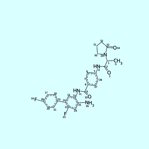 CC(C(=O)Nc1ccc(C(=O)Nc2cc(-c3ccc(F)cc3)c(F)cc2N)cc1)N1CCCC1=O